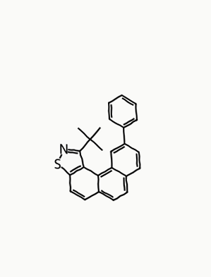 CC(C)(C)c1nsc2ccc3ccc4ccc(-c5ccccc5)cc4c3c12